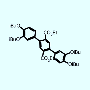 CCOC(=O)c1cc(-c2ccc(OCC(C)C)c(OCC(C)C)c2)c(C(=O)OCC)cc1-c1ccc(OCC(C)C)c(OCC(C)C)c1